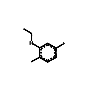 CCNc1cc(F)ccc1C